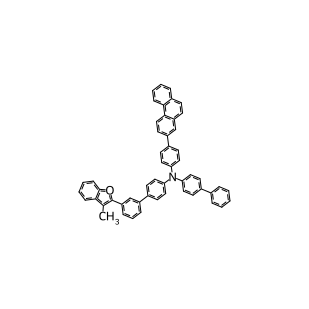 Cc1c(-c2cccc(-c3ccc(N(c4ccc(-c5ccccc5)cc4)c4ccc(-c5ccc6c(ccc7ccccc76)c5)cc4)cc3)c2)oc2ccccc12